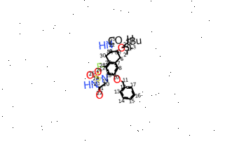 CC(C)(C)[Si](C)(C)O[C@H]1Cc2cc(OCc3ccccc3)c(N3CC(=O)NS3(=O)=O)c(F)c2C[C@@H]1NC(=O)O